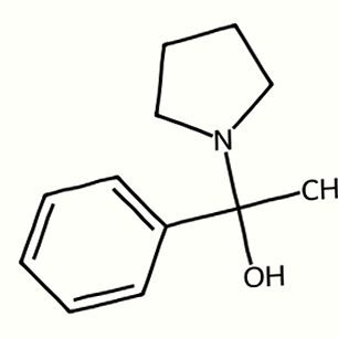 CC(O)(c1ccccc1)N1CCCC1